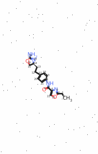 CCc1nc(C(=O)Nc2ccc(CC[C@H]3COC(N)=N3)cc2)co1